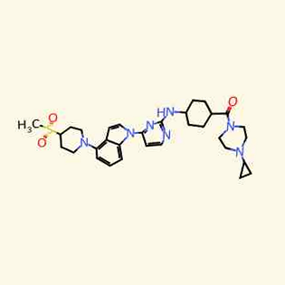 CS(=O)(=O)C1CCN(c2cccc3c2ccn3-c2ccnc(NC3CCC(C(=O)N4CCN(C5CC5)CC4)CC3)n2)CC1